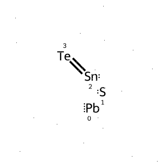 [Pb].[S].[Sn]=[Te]